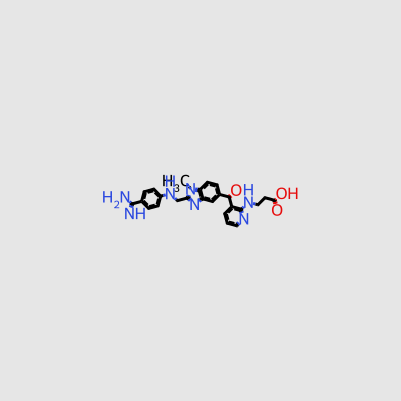 Cn1c(CNc2ccc(C(=N)N)cc2)nc2cc(C(=O)c3cccnc3NCCC(=O)O)ccc21